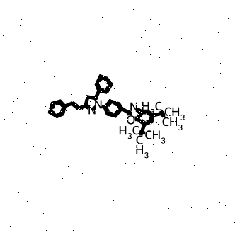 CC(C)(C)c1cc(C(C)(C)C)c2oc(-c3ccc(N4N=C(C=Cc5ccccc5)CC4c4ccccc4)cc3)nc2c1